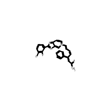 C=C(F)/C=C(\C=C/CCn1ccc2nc(-c3cccc(Cl)c3F)nc-2c1)c1ccccc1